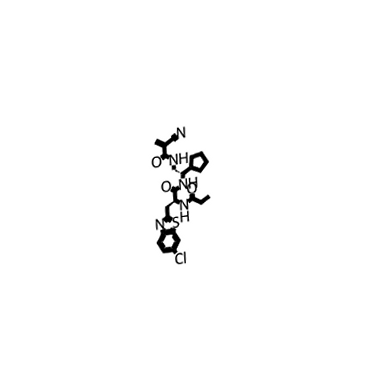 C=C(C#N)C(=O)NC[C@@H](NC(=O)[C@H](Cc1nc2ccc(Cl)cc2s1)NC(=O)CC)C1CCCC1